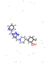 Oc1cc(C2CCN(Cc3cn(Cc4ccccn4)nn3)CC2)ccc1F